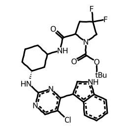 CC(C)(C)OC(=O)N1CC(F)(F)CC1C(=O)NC1CCC[C@@H](Nc2ncc(Cl)c(-c3c[nH]c4ccccc34)n2)C1